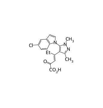 CC/C(=C\C(=O)C(=O)O)c1c(C)nn(C)c1-n1ccc2cc(Cl)ccc21